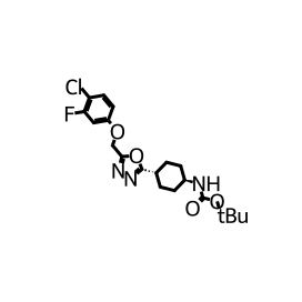 CC(C)(C)OC(=O)N[C@H]1CC[C@H](c2nnc(COc3ccc(Cl)c(F)c3)o2)CC1